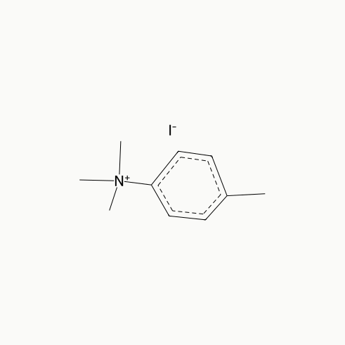 Cc1ccc([N+](C)(C)C)cc1.[I-]